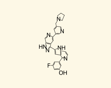 Oc1cc(F)cc(-c2nccc3[nH]c(-c4n[nH]c5cnc(-c6cncc(CN7CCCC7)c6)cc45)cc23)c1